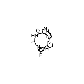 C[C@H]1CNC(=O)c2cnn3ccc(nc23)N2CCC[C@@H]2c2cc(F)cn(c2=O)C1